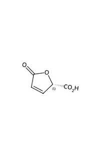 O=C1C=C[C@@H](C(=O)O)O1